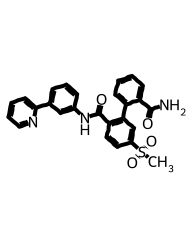 CS(=O)(=O)c1ccc(C(=O)Nc2cccc(-c3ccccn3)c2)c(-c2ccccc2C(N)=O)c1